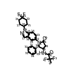 CC(F)(F)C(=O)N[C@@H]1CC(=O)N(c2ccc3c(cnn3C3CCC(F)(F)CC3)c2)[C@H]1c1ccccc1